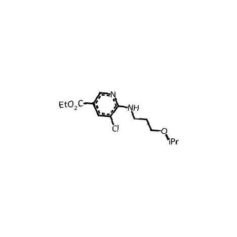 CCOC(=O)c1cnc(NCCCOC(C)C)c(Cl)c1